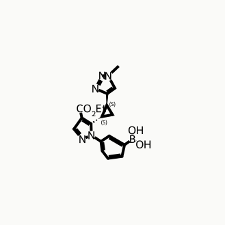 CCOC(=O)c1cnn(-c2cccc(B(O)O)c2)c1[C@H]1C[C@@H]1c1cn(C)nn1